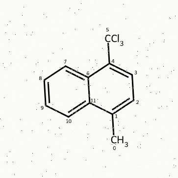 Cc1ccc(C(Cl)(Cl)Cl)c2ccccc12